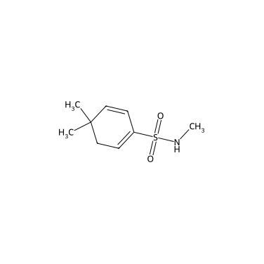 CNS(=O)(=O)C1=CCC(C)(C)C=C1